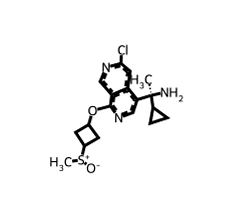 C[S+]([O-])C1CC(Oc2ncc([C@@](C)(N)C3CC3)c3cc(Cl)ncc23)C1